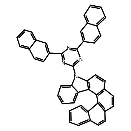 c1ccc2cc(-c3nc(-c4ccc5ccccc5c4)nc(-n4c5ccccc5c5c6c(ccc7ccc8ccccc8c76)ccc54)n3)ccc2c1